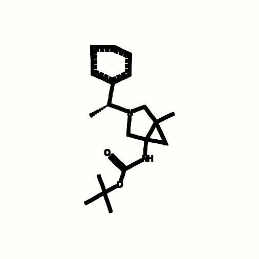 C[C@H](c1ccccc1)N1CC2(C)CC2(NC(=O)OC(C)(C)C)C1